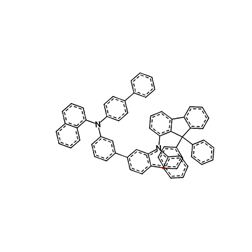 c1ccc(-c2ccc(N(c3cccc(-c4ccc5c6ccccc6n(-c6cccc7c6C(c6ccccc6)(c6ccccc6)c6ccccc6-7)c5c4)c3)c3cccc4ccccc34)cc2)cc1